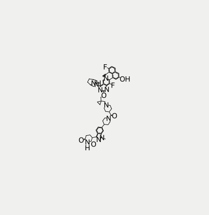 C#Cc1c(F)ccc2cc(O)cc(-c3ncc4c(N5CC6CCC(C5)N6)nc(OCC5(CN6CCC(C(=O)N7CCC(c8ccc9c(C%10CCC(=O)NC%10=O)nn(C)c9c8)CC7)CC6)CC5)nc4c3F)c12